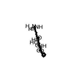 N=C(N)NCCCCCCC(=O)NC[C@@H](O)CC(=O)NCCC(=O)OCc1ccccc1